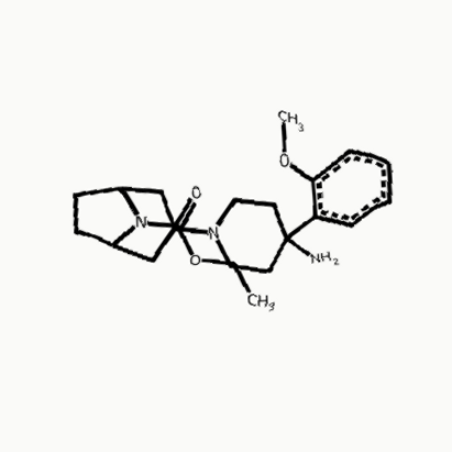 CCOC(=O)N1C2CCC1CC(N1CCC(N)(c3ccccc3OC)CC1)C2